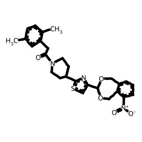 Cc1ccc(C)c(CC(=O)N2CCC(c3nc(C4OCc5cccc([N+](=O)[O-])c5CO4)cs3)CC2)c1